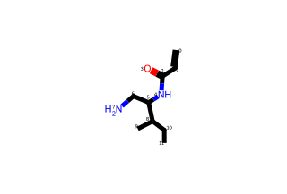 C=CC(=O)NC(CN)C(C)CC